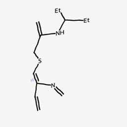 C=C/C(=C/SCC(=C)NC(CC)CC)N=C